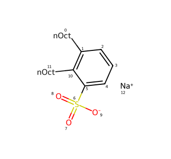 CCCCCCCCc1cccc(S(=O)(=O)[O-])c1CCCCCCCC.[Na+]